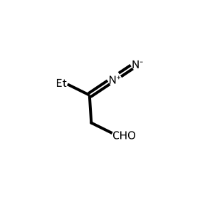 CCC(CC=O)=[N+]=[N-]